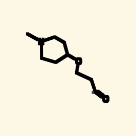 CN1CCC(OCC[C]=O)CC1